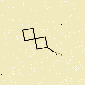 NC1CC2(CCC2)C1